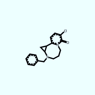 O=c1c(Cl)ccc2n1CCCN(Cc1ccccc1)C1CC21